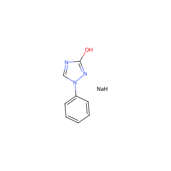 Oc1ncn(-c2ccccc2)n1.[NaH]